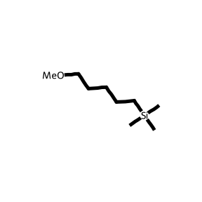 COCCCCC[Si](C)(C)C